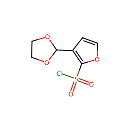 O=S(=O)(Cl)c1occc1C1OCCO1